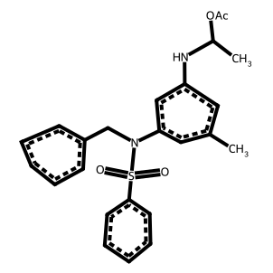 CC(=O)OC(C)Nc1cc(C)cc(N(Cc2ccccc2)S(=O)(=O)c2ccccc2)c1